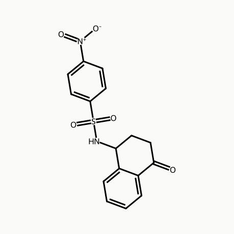 O=C1CCC(NS(=O)(=O)c2ccc([N+](=O)[O-])cc2)c2ccccc21